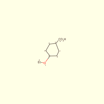 CCOC1CCC(C(=O)O)CC1